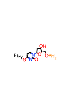 C[CH2][Y][O]c1ccn([C@H]2C[C@@H](O)[C@@H](COP)O2)c(=O)n1